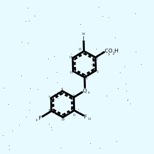 O=C(O)c1cc(Oc2ccc(F)cc2F)ccc1I